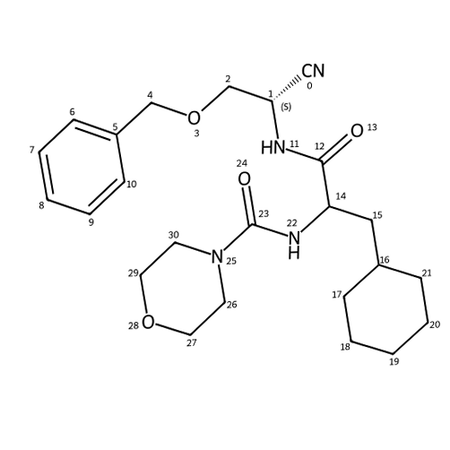 N#C[C@@H](COCc1ccccc1)NC(=O)C(CC1CCCCC1)NC(=O)N1CCOCC1